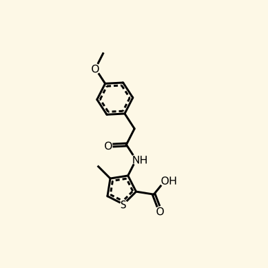 COc1ccc(CC(=O)Nc2c(C)csc2C(=O)O)cc1